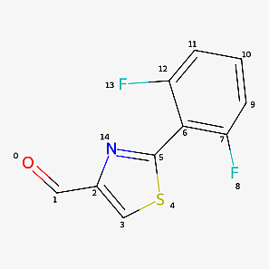 O=Cc1csc(-c2c(F)cccc2F)n1